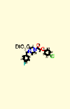 CCOC(=O)C1CN(C(=O)COc2ccc(Cl)cc2)CCN1Cc1ccc(F)cc1